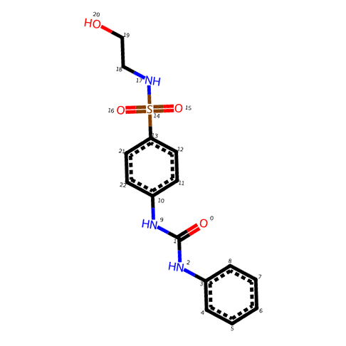 O=C(Nc1ccccc1)Nc1ccc(S(=O)(=O)NCCO)cc1